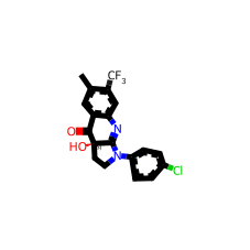 Cc1cc2c(cc1C(F)(F)F)N=C1N(c3ccc(Cl)cc3)CC[C@@]1(O)C2=O